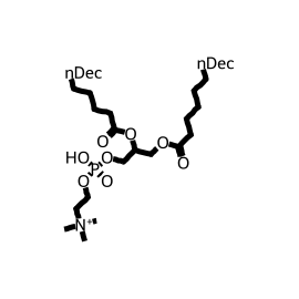 CCCCCCCCCCCCCCCC(=O)OCC(COP(=O)(O)OCC[N+](C)(C)C)OC(=O)CCCCCCCCCCCCCC